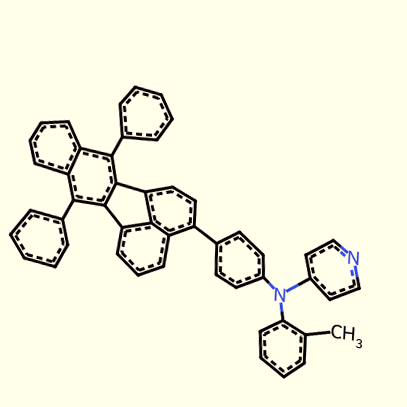 Cc1ccccc1N(c1ccncc1)c1ccc(-c2ccc3c4c(cccc24)-c2c-3c(-c3ccccc3)c3ccccc3c2-c2ccccc2)cc1